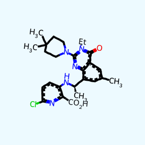 CCn1c(N2CCC(C)(C)CC2)nc2c([C@@H](C)Nc3ccc(Cl)nc3C(=O)O)cc(C)cc2c1=O